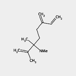 C=CC(=C)CCC(C)(NC)C(=C)C